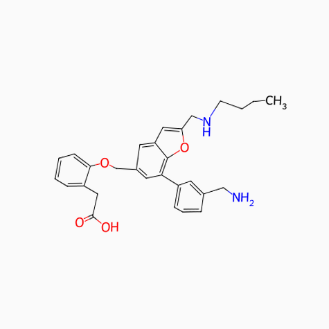 CCCCNCc1cc2cc(COc3ccccc3CC(=O)O)cc(-c3cccc(CN)c3)c2o1